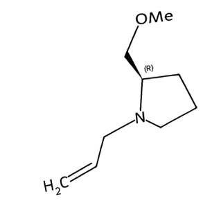 C=CCN1CCC[C@@H]1COC